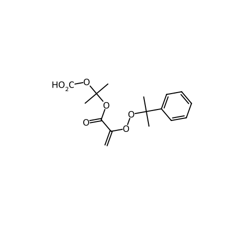 C=C(OOC(C)(C)c1ccccc1)C(=O)OC(C)(C)OC(=O)O